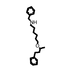 CC(CCc1ccccc1)OCCCCCCNCc1ccccc1